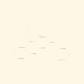 C=CCN1C2C=CC=CC2C(=O)C2CN(Cc3ccccc3)C=CC21